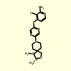 C[C@H]1OCC2(CCN(c3cnc(Sc4ccnc(N)c4Cl)cn3)CC2)[C@@H]1N